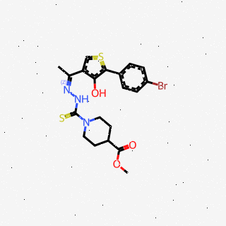 COC(=O)C1CCN(C(=S)N/N=C(/C)c2csc(-c3ccc(Br)cc3)c2O)CC1